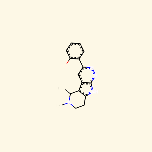 CN1CCc2[nH]c3nnc(-c4ccccc4O)cc3c2C1C(F)(F)F